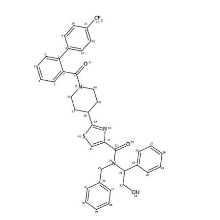 O=C(c1ccccc1-c1ccc(C(F)(F)F)cc1)N1CCC(c2nc(C(=O)N(Cc3ccccc3)C(CO)c3ccccc3)cs2)CC1